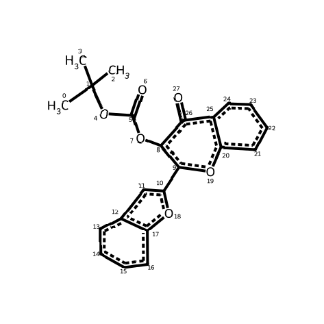 CC(C)(C)OC(=O)Oc1c(-c2cc3ccccc3o2)oc2ccccc2c1=O